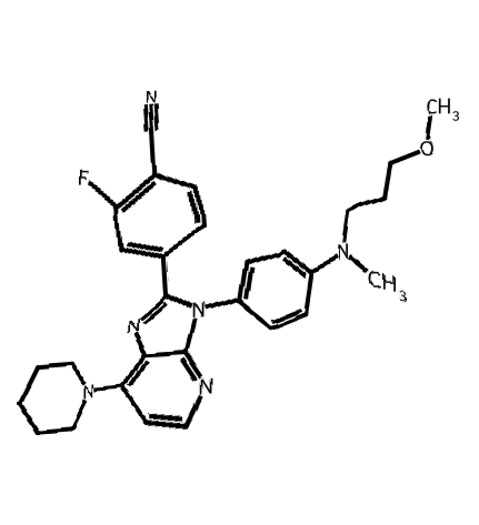 COCCCN(C)c1ccc(-n2c(-c3ccc(C#N)c(F)c3)nc3c(N4CCCCC4)ccnc32)cc1